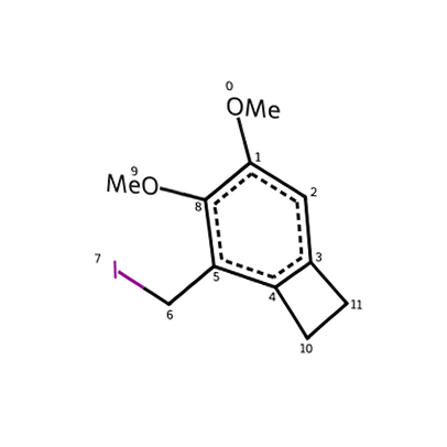 COc1cc2c(c(CI)c1OC)CC2